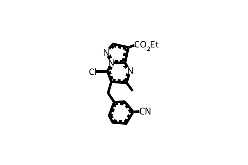 CCOC(=O)c1cnn2c(Cl)c(Cc3cccc(C#N)c3)c(C)nc12